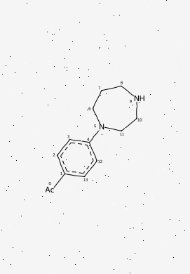 CC(=O)c1ccc(N2CCCNCC2)cc1